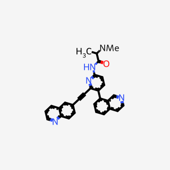 CNC(C)C(=O)Nc1ccc(-c2cccc3ccncc23)c(C#Cc2ccc3ncccc3c2)n1